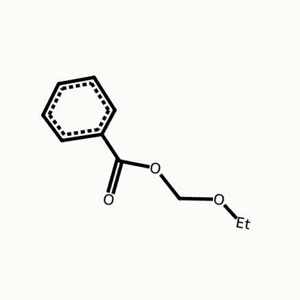 CCOCOC(=O)c1ccccc1